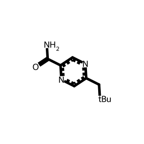 CC(C)(C)Cc1cnc(C(N)=O)cn1